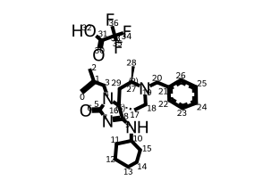 C=C(C)CN1C(=O)N=C(NC2CCCCC2)[C@@]12CCN(Cc1ccccc1)[C@H](C)C2.O=C(O)C(F)(F)F